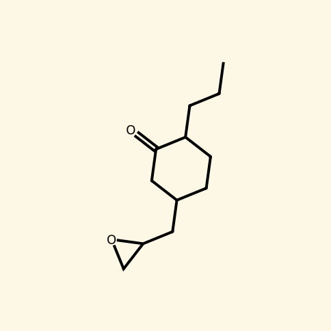 CCCC1CCC(CC2CO2)CC1=O